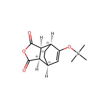 C[Si](C)(C)OC1=C[C@@H]2CC[C@H]1[C@@H]1C(=O)OC(=O)[C@@H]12